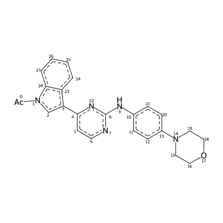 CC(=O)n1cc(-c2ccnc(Nc3ccc(N4CCOCC4)cc3)n2)c2ccccc21